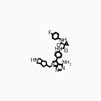 Nc1ncnc2c1c(-c1ccc(NC(=O)C3(C(=O)Nc4ccc(F)cc4)CC3)cc1)cn2CC1CC2CNCC2C1